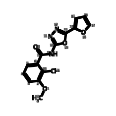 COc1cccc(C(=O)Nc2nnc(-c3ccco3)o2)c1Cl